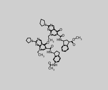 CCn1cc(C(=O)NC2CC(C(=O)OC)c3ccccc32)c(=O)c2cnc(N3CCCC3)nc21.CCn1cc(C(=O)NC2CCc3ccc(NC(C)=O)cc32)c(=O)c2cnc(N3CCCC3)nc21